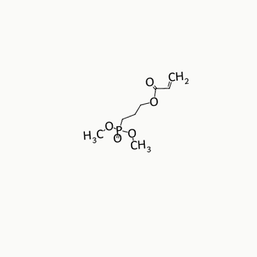 C=CC(=O)OCCCP(=O)(OC)OC